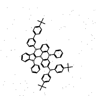 CC(C)(C)c1ccc(-c2cccc(N3c4cccc5c4B(c4ccc(N(c6ccc(C(C)(C)C)cc6)c6ccc(C(C)(C)C)cc6)cc4N5c4ccccc4)c4c3c3ccccc3n4-c3ccccc3)c2)cc1